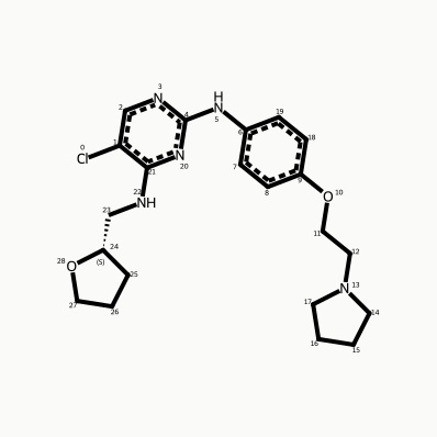 Clc1cnc(Nc2ccc(OCCN3CCCC3)cc2)nc1NC[C@@H]1CCCO1